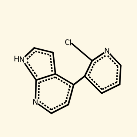 Clc1ncccc1-c1ccnc2[nH]ccc12